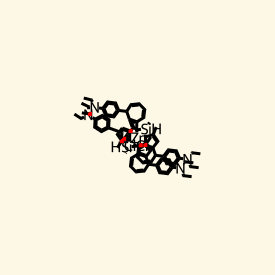 CCN(CC)c1ccc(C2C=CC=CC3=C2C=C(C)[C]32[SiH](C)[C]3(C(C)=CC4=C3C=CC=CC4c3ccc(N(CC)CC)cc3)[Zr]23([Cl])([Cl])[C]2(C(C)=CC4=C2C=CC=CC4c2ccc(N(CC)CC)cc2)[SiH](C)[C]32C(C)=CC3=C2C=CC=CC3c2ccc(N(CC)CC)cc2)cc1